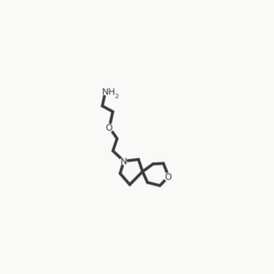 NCCOCCN1CCC2(CCOCC2)C1